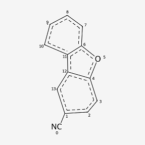 N#Cc1ccc2oc3cc[c]cc3c2c1